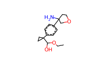 CCOC(O)C1(c2ccc(C3(N)CCOC3)cc2)CC1